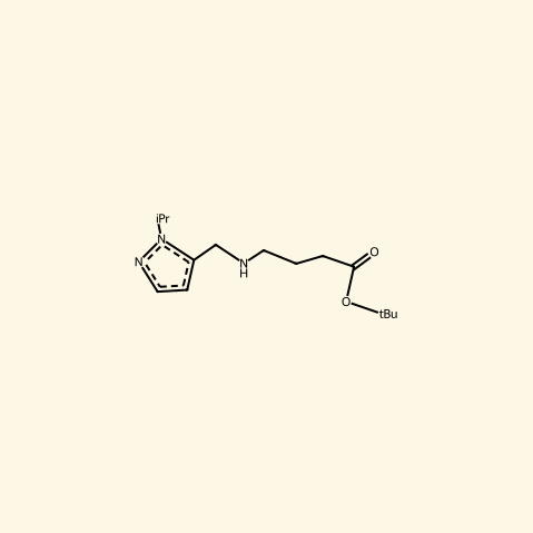 CC(C)n1nccc1CNCCCC(=O)OC(C)(C)C